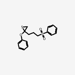 O=S(=O)(CCCC1(Oc2ccccc2)CS1)c1ccccc1